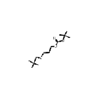 CC(C)(C)CSCCCOC(=O)OC(C)(C)C